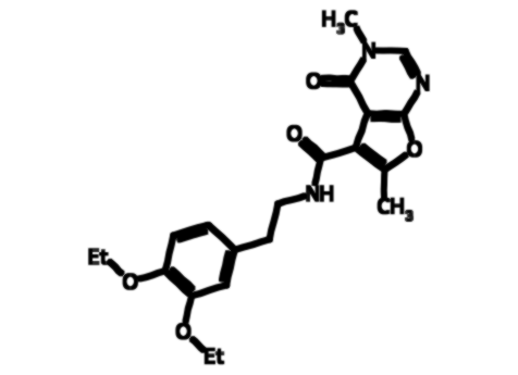 CCOc1ccc(CCNC(=O)c2c(C)oc3ncn(C)c(=O)c23)cc1OCC